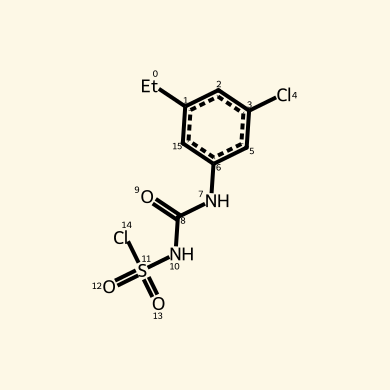 CCc1cc(Cl)cc(NC(=O)NS(=O)(=O)Cl)c1